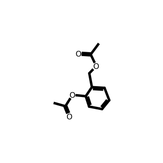 CC(=O)OCc1ccccc1OC(C)=O